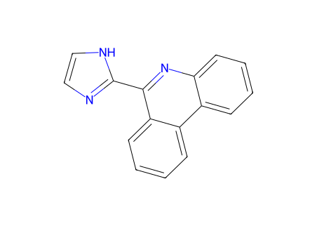 c1ccc2c(c1)nc(-c1ncc[nH]1)c1ccccc12